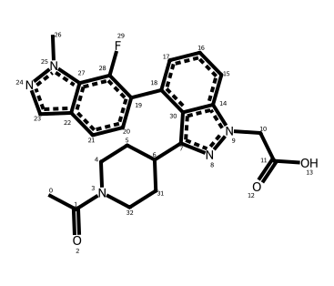 CC(=O)N1CCC(c2nn(CC(=O)O)c3cccc(-c4ccc5cnn(C)c5c4F)c23)CC1